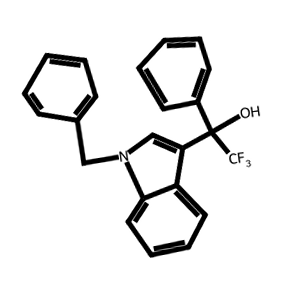 OC(c1ccccc1)(c1cn(Cc2ccccc2)c2ccccc12)C(F)(F)F